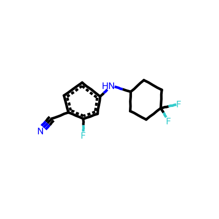 N#Cc1ccc(NC2CCC(F)(F)CC2)cc1F